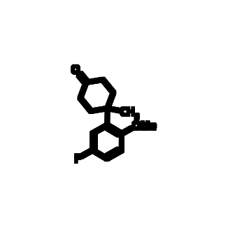 COc1ccc(F)cc1C1(C)CCC(=O)CC1